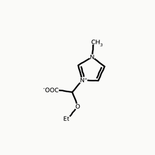 CCOC(C(=O)[O-])[n+]1ccn(C)c1